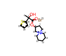 CC(O)(C(=O)OC1CC[N+]2(CCCCC2)C1)c1cccs1.[Br-]